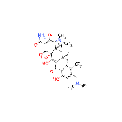 CC(C)N(C)Cc1cc(O)c2c(c1C(F)(F)F)C[C@H]1C[C@H]3[C@H](N(C)C)C(O)=C(C(N)=O)C(=O)[C@@]3(O)C(O)=C1C2=O